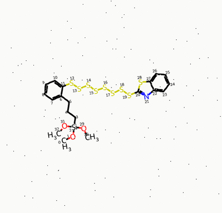 CO[Si](CCCc1ccccc1SSSSSSSSc1nc2ccccc2s1)(OC)OC